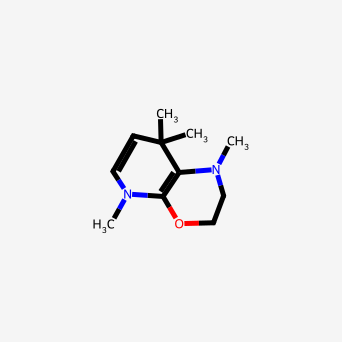 CN1C=CC(C)(C)C2=C1OCCN2C